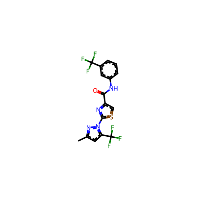 Cc1cc(C(F)(F)F)n(-c2nc(C(=O)Nc3cccc(C(F)(F)F)c3)cs2)n1